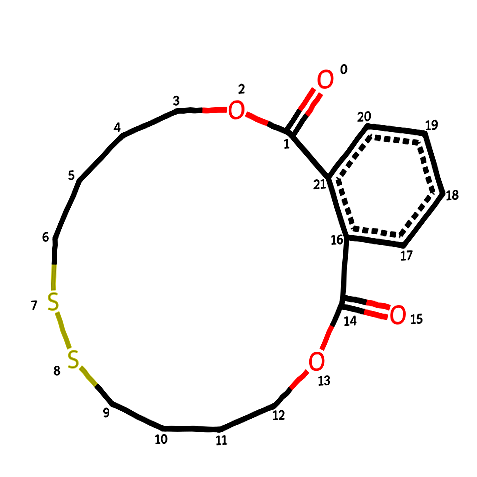 O=C1OCCCCSSCCCCOC(=O)c2ccccc21